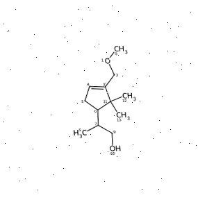 COCC1=CCC(C(C)CO)C1(C)C